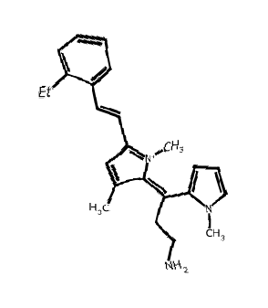 CCc1ccccc1/C=C/C1=[N+](C)C(=C(/CCN)c2cccn2C)/C(C)=C1